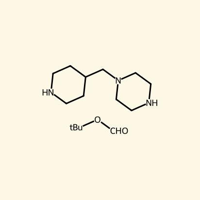 C1CC(CN2CCNCC2)CCN1.CC(C)(C)OC=O